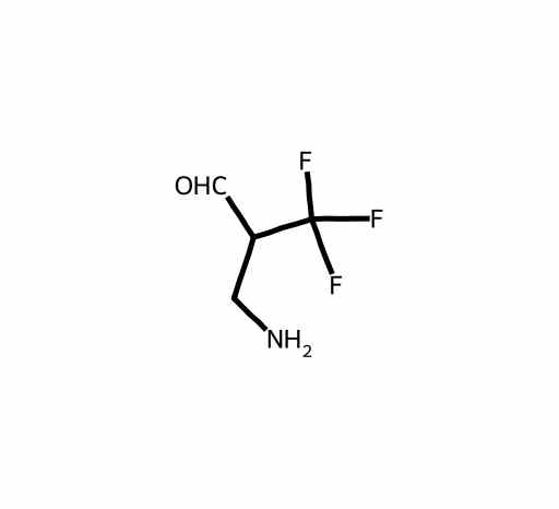 NCC(C=O)C(F)(F)F